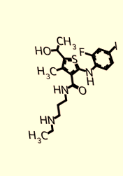 CCNCCCNC(=O)c1c(Nc2ccc(I)cc2F)sc(C(C)O)c1C